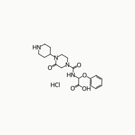 Cl.O=C(O)C(NC(=O)N1CCN(C2CCNCC2)C(=O)C1)Oc1ccccc1